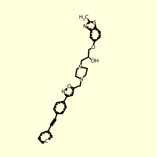 Cc1nc2cc(OC[C@@H](O)CN3CCN(Cc4cc(-c5ccc(C#Cc6ccccc6)cc5)no4)CC3)ccc2s1